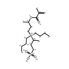 C=C(C)C(=O)OC(C)CC[N+](CCCC)(CCCC)C(C)CCS(=O)(=O)[O-]